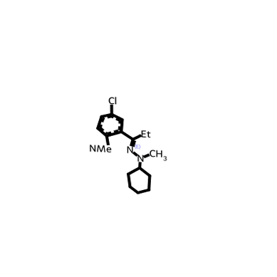 CC/C(=N\N(C)C1CCCCC1)c1cc(Cl)ccc1NC